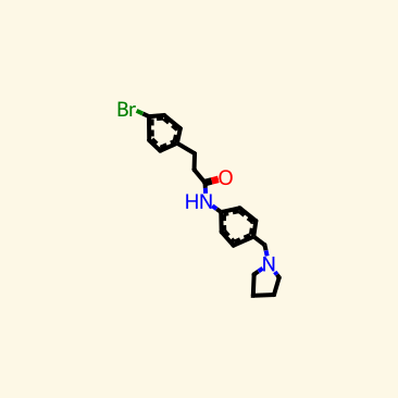 O=C(CCc1ccc(Br)cc1)Nc1ccc(CN2CCCC2)cc1